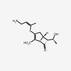 C/C(=C/CN)SC1=C(C(=O)O)N2C(=O)[C@@H]([C@H](C)O)[C@H]2C1